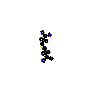 c1cncc(-c2cc(-c3cccnc3)cc(-c3c4ccccc4c(-c4ccc5c(c4)sc4ccc(-c6c7ccccc7c(-c7cc(-c8cccnc8)cc(-c8cccnc8)c7)c7ccccc67)cc45)c4ccccc34)c2)c1